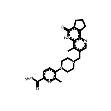 CNC(=O)c1ccc(N2CCN(Cc3cnc4c5c(c(=O)[nH]c4c3C)CCC5)CC2)c(C)n1